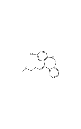 CN(C)CCC=C1c2ccccc2COc2ccc(O)cc21